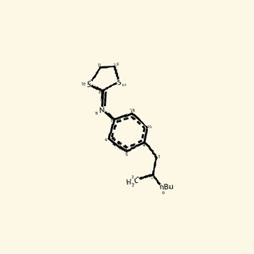 CCCCC(C)Cc1ccc(N=C2SCCS2)cc1